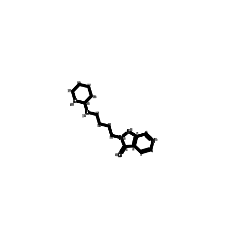 O=c1c2ccncc2sn1CCCCOC1CCCCO1